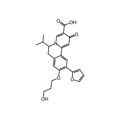 CC(C)C1Cc2cc(OCCCO)c(-c3ccco3)cc2-c2cc(=O)c(C(=O)O)cn21